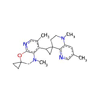 Cc1cnc2c(c1)N(C)CCC21CC1c1c(C)cnc2c1N(C)CC1(CC1)O2